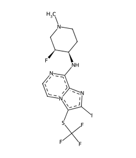 CN1CC[C@@H](Nc2nccn3c(SC(F)(F)F)c(I)nc23)[C@@H](F)C1